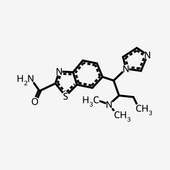 CCC(C(c1ccc2nc(C(N)=O)sc2c1)n1ccnc1)N(C)C